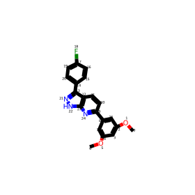 COc1cc(OC)cc(-c2ccc3c(-c4ccc(F)cc4)n[nH]c3n2)c1